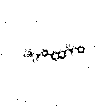 CC(C)(C)OC(=O)n1cc(-c2cnc3ccc(N(S)C(=O)NC4CCCC4)nc3n2)cn1